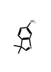 CC1(C)C=Nc2cc(N)ccc21